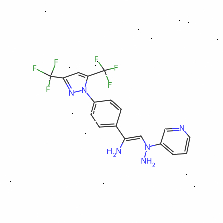 N/C(=C\N(N)c1cccnc1)c1ccc(-n2nc(C(F)(F)F)cc2C(F)(F)F)cc1